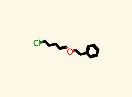 ClCCCCCOCCc1ccccc1